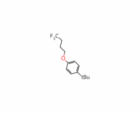 CC(C)(C)c1ccc(OCCCC(F)(F)F)cc1